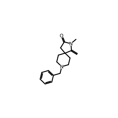 C=C1N(C)C(=O)CC12CCN(Cc1ccccc1)CC2